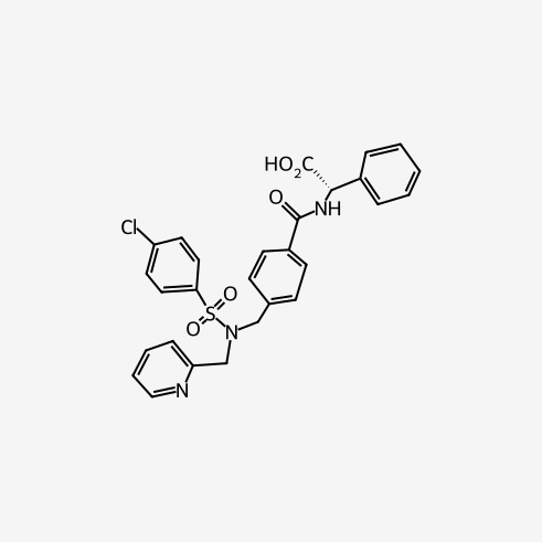 O=C(N[C@H](C(=O)O)c1ccccc1)c1ccc(CN(Cc2ccccn2)S(=O)(=O)c2ccc(Cl)cc2)cc1